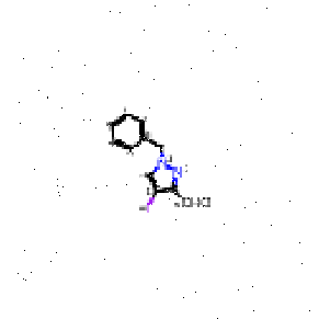 O=Cc1nn(Cc2ccccc2)cc1I